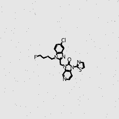 O=c1n(Cc2nc3cc(Cl)ccc3n2CCCCF)c2cnccc2n1-c1nccs1